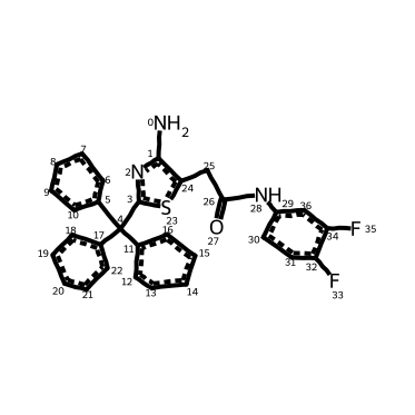 Nc1nc(C(c2ccccc2)(c2ccccc2)c2ccccc2)sc1CC(=O)Nc1ccc(F)c(F)c1